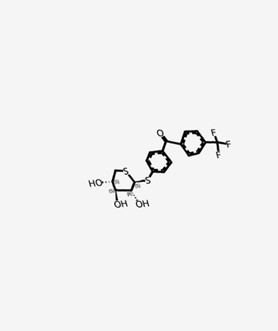 O=C(c1ccc(S[C@@H]2SC[C@@H](O)[C@H](O)[C@H]2O)cc1)c1ccc(C(F)(F)F)cc1